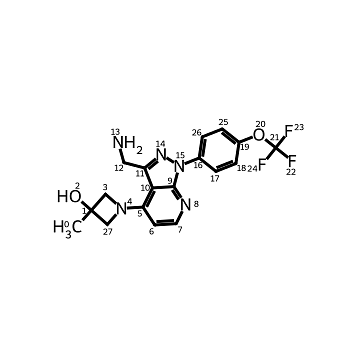 CC1(O)CN(c2ccnc3c2c(CN)nn3-c2ccc(OC(F)(F)F)cc2)C1